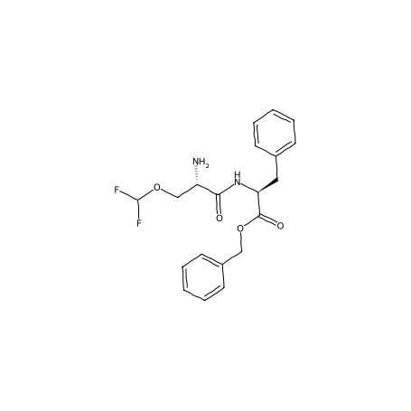 N[C@@H](COC(F)F)C(=O)N[C@@H](Cc1ccccc1)C(=O)OCc1ccccc1